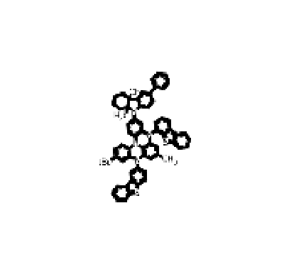 Cc1cc2c3c(c1)N(c1cccc4c1sc1ccccc14)c1cc(N4c5ccc(-c6ccccc6)cc5C5(C)CCCCC45C)ccc1B3c1ccc(C(C)(C)C)cc1N2c1ccc2sc3ccccc3c2c1